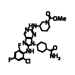 COC(=O)N1CCC[C@@H](Nc2ncc3nc(Nc4c(F)cc(F)cc4Cl)n([C@H]4CC[C@H](C(N)=O)CC4)c3n2)C1